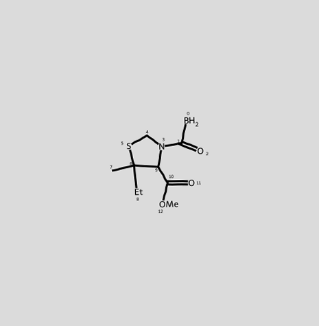 BC(=O)N1CSC(C)(CC)C1C(=O)OC